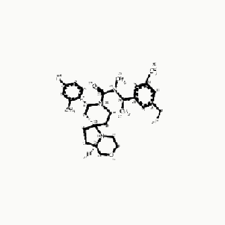 Cc1cc(F)ccc1[C@H]1C[C@]2(CC[C@@H]3COCCN32)CCN1C(=O)N(C)[C@H](C)c1cc(CF)cc(C(F)(F)F)c1